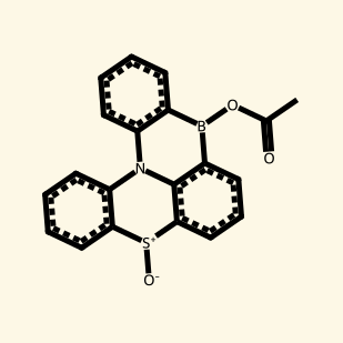 CC(=O)OB1c2ccccc2N2c3ccccc3[S+]([O-])c3cccc1c32